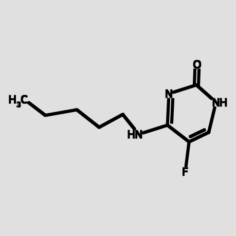 CCCCCNc1nc(=O)[nH]cc1F